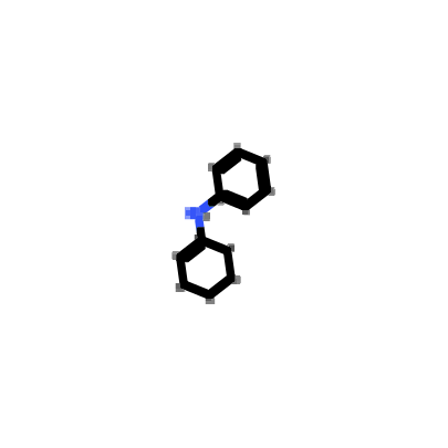 C1=C(Nc2ccccc2)CCCC1